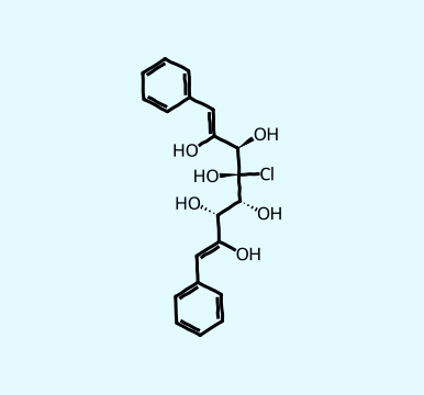 OC(=Cc1ccccc1)[C@@H](O)[C@](O)(Cl)[C@H](O)[C@@H](O)C(O)=Cc1ccccc1